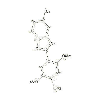 COc1cc(-c2nc3cc(C(C)(C)C)ccc3o2)c(OC)cc1C=O